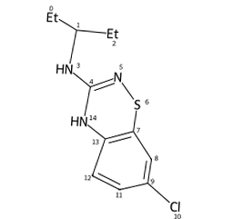 CCC(CC)NC1=NSc2cc(Cl)ccc2N1